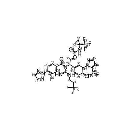 CC(C)(C)CCNC(=N)N(C(=O)c1ccc(-n2nccn2)c(F)c1)[C@H](COC(=O)NC1(C(F)(F)F)CC1)c1ccc(Cl)c(-n2ncnc2C(F)F)c1